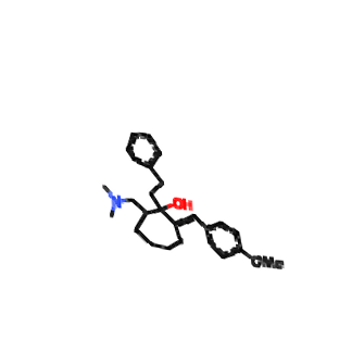 COc1ccc(C=C2CCCCC(CN(C)C)C2(O)CCc2ccccc2)cc1